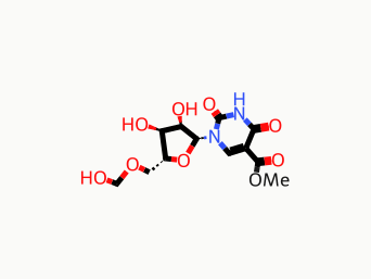 COC(=O)c1cn([C@@H]2O[C@H](COCO)[C@@H](O)[C@H]2O)c(=O)[nH]c1=O